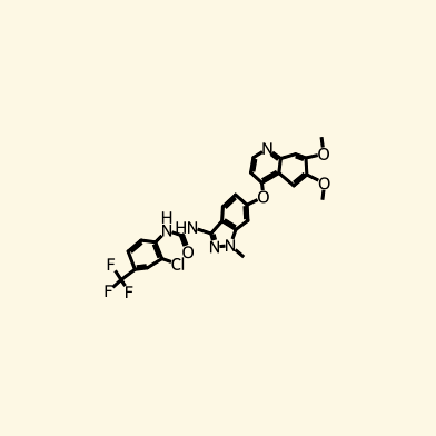 COc1cc2nccc(Oc3ccc4c(NC(=O)Nc5ccc(C(F)(F)F)cc5Cl)nn(C)c4c3)c2cc1OC